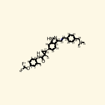 Cc1cc(OC(F)F)ccc1NC(=O)[C@]1(C)C[C@H]1c1ccc2c(/C=C/c3ccc(CN(C)C)cc3)n[nH]c2c1